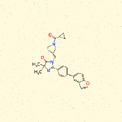 CC1(C)N=C(c2ccc(-c3ccc4occc4c3)cc2)N(/C=C2\CCN(C(=O)C3CC3)C2)C1=O